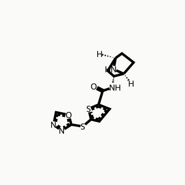 O=C(N[C@@H]1C[C@H]2CC[C@@H]1N2)c1ccc(Sc2nnco2)s1